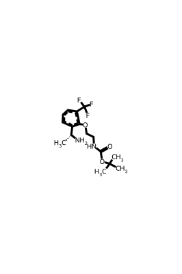 C[C@@H](N)c1cccc(C(F)(F)F)c1OCCNC(=O)OC(C)(C)C